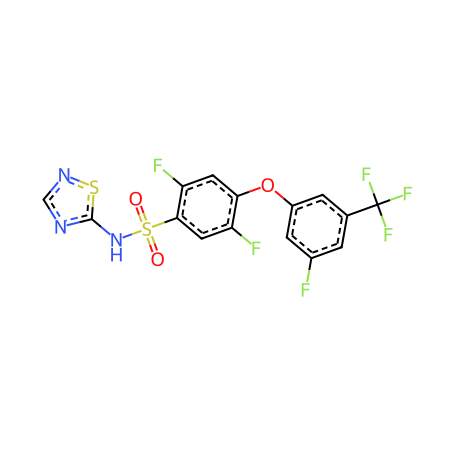 O=S(=O)(Nc1ncns1)c1cc(F)c(Oc2cc(F)cc(C(F)(F)F)c2)cc1F